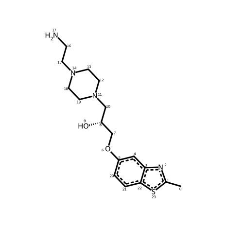 Cc1nc2cc(OC[C@H](O)CN3CCN(CCN)CC3)ccc2s1